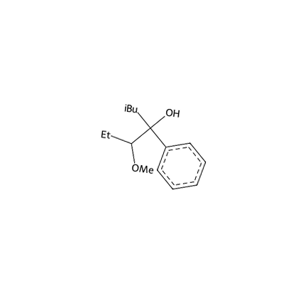 CCC(C)C(O)(c1ccccc1)C(CC)OC